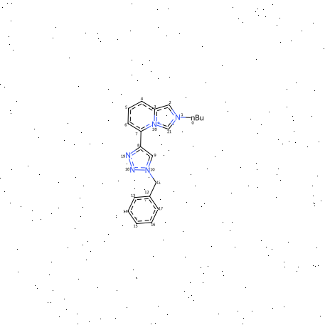 CCCCn1cc2cccc(-c3cn(Cc4ccccc4)nn3)[n+]2c1